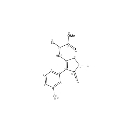 CCC(NC1=C(c2cccc(C(F)(F)F)c2)C(=O)C(C)C1)C(=O)OC